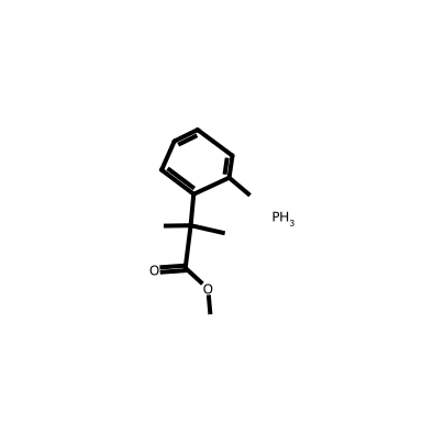 COC(=O)C(C)(C)c1ccccc1C.P